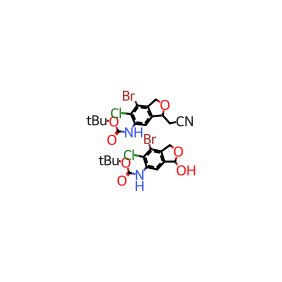 CC(C)(C)OC(=O)Nc1cc2c(c(Br)c1Cl)COC2CC#N.CC(C)(C)OC(=O)Nc1cc2c(c(Br)c1Cl)COC2O